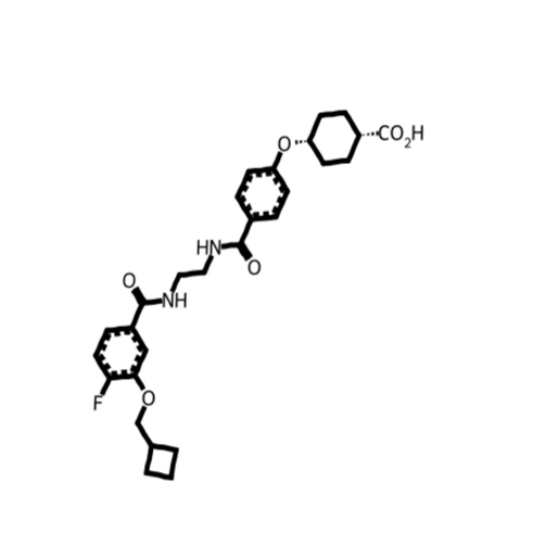 O=C(NCCNC(=O)c1ccc(F)c(OCC2CCC2)c1)c1ccc(O[C@H]2CC[C@@H](C(=O)O)CC2)cc1